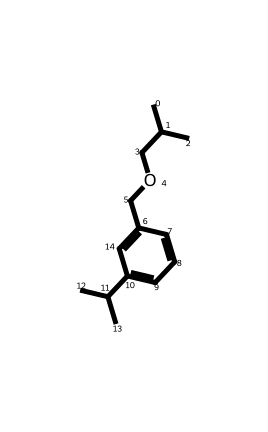 CC(C)COCc1cccc(C(C)C)c1